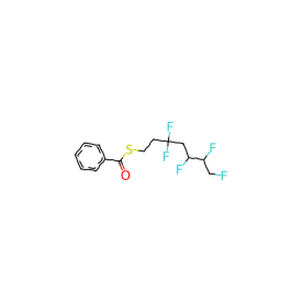 O=C(SCCC(F)(F)CC(F)C(F)CF)c1ccccc1